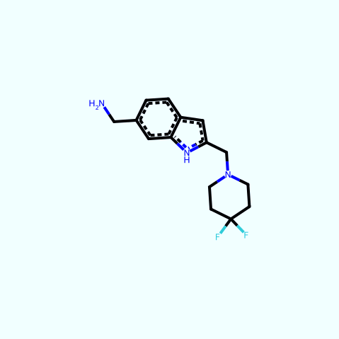 NCc1ccc2cc(CN3CCC(F)(F)CC3)[nH]c2c1